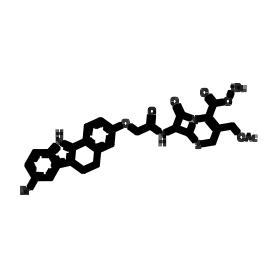 CC(=O)OCC1=C(C(=O)OC(C)(C)C)N2C(=O)C(NC(=O)COc3ccc4c(c3)CCc3c-4[nH]c4ccc(Br)cc34)C2SC1